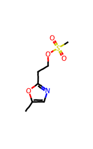 Cc1cnc(CCOS(C)(=O)=O)o1